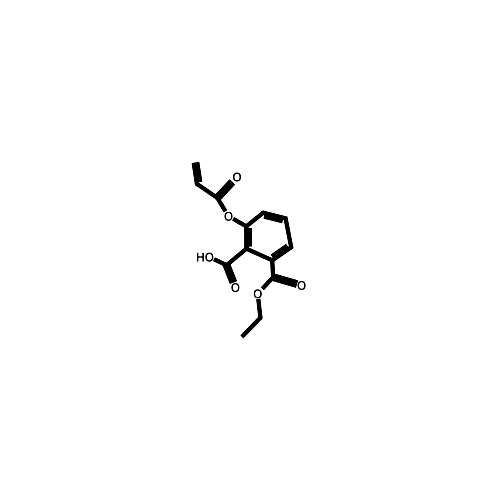 C=CC(=O)Oc1cccc(C(=O)OCC)c1C(=O)O